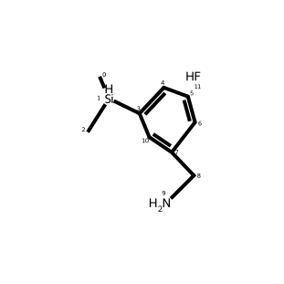 C[SiH](C)c1cccc(CN)c1.F